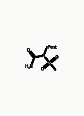 CCCCCN(C(N)=O)S(C)(=O)=O